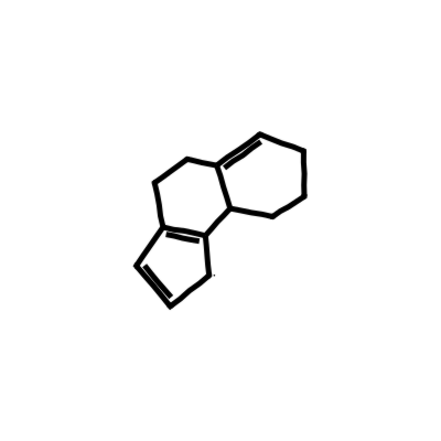 [CH]1C=CC2=C1C1CCCC=C1CC2